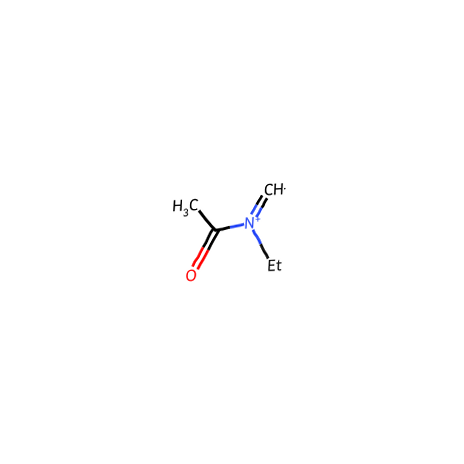 [CH]=[N+](CC)C(C)=O